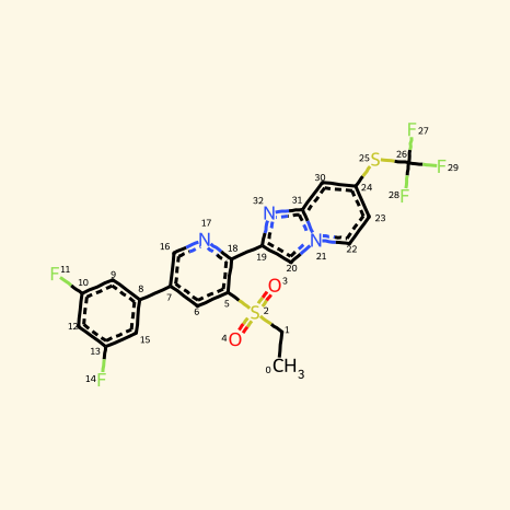 CCS(=O)(=O)c1cc(-c2cc(F)cc(F)c2)cnc1-c1cn2ccc(SC(F)(F)F)cc2n1